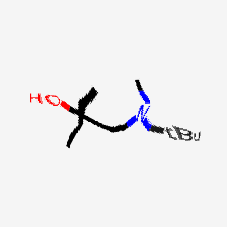 CN(CC(C)(C)O)C(C)(C)C